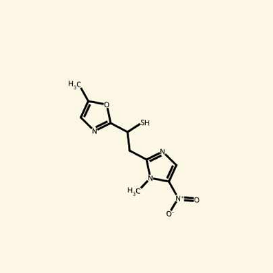 Cc1cnc(C(S)Cc2ncc([N+](=O)[O-])n2C)o1